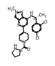 C[C@@H](Nc1cc(C2=CCN(C(=O)[C@H]3CCCN3)CC2)nc2cn(C)nc12)c1ccc(Cl)cc1Cl